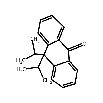 CC(C)C1(C(C)C)c2ccccc2C(=O)c2ccccc21